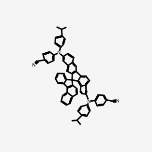 CC(C)c1ccc(N(c2ccc(C#N)cc2)c2ccc3cc4c(cc3c2)C2(c3ccccc3-c3c2ccc2ccccc32)c2c-4ccc3cc(N(c4ccc(C#N)cc4)c4ccc(C(C)C)cc4)ccc23)cc1